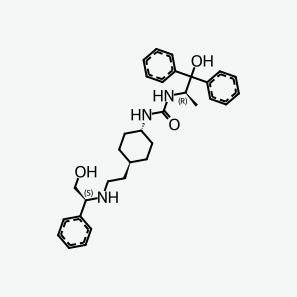 C[C@@H](NC(=O)N[C@H]1CC[C@H](CCN[C@H](CO)c2ccccc2)CC1)C(O)(c1ccccc1)c1ccccc1